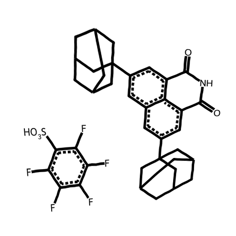 O=C1NC(=O)c2cc(C34CC5CC(CC(C5)C3)C4)cc3cc(C45CC6CC(CC(C6)C4)C5)cc1c23.O=S(=O)(O)c1c(F)c(F)c(F)c(F)c1F